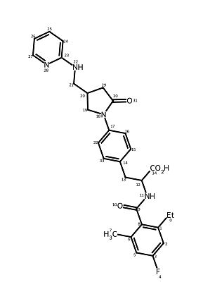 CCc1cc(F)cc(C)c1C(=O)NC(Cc1ccc(N2CC(CNc3ccccn3)CC2=O)cc1)C(=O)O